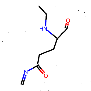 C=NC(=O)CCC(C=O)NCC